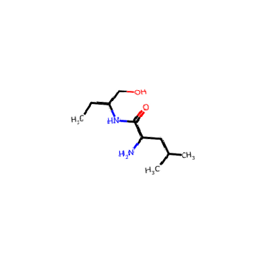 CCC(CO)NC(=O)C(N)CC(C)C